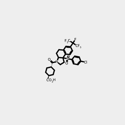 O=C(O)[C@H]1CC[C@H](C(=O)N2CCC3(S(=O)(=O)c4ccc(Cl)cc4)c4ccc(C(F)(C(F)(F)F)C(F)(F)F)cc4CCC23)CC1